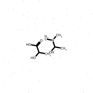 CC(O)C(=O)O.CC(O)N(C)C